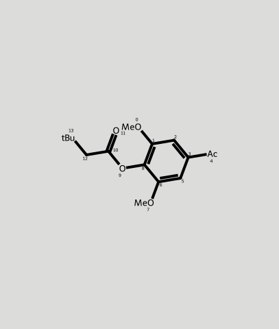 COc1cc(C(C)=O)cc(OC)c1OC(=O)CC(C)(C)C